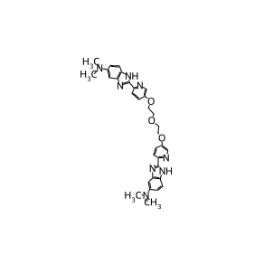 CN(C)c1ccc2[nH]c(-c3ccc(OCCOCCOc4ccc(-c5nc6cc(N(C)C)ccc6[nH]5)nc4)cn3)nc2c1